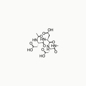 CNC(=O)[C@H](CC(=O)O)NC(=O)[C@H](CC(=O)O)NC(=O)[C@H](CC(=O)O)NC(C)=O